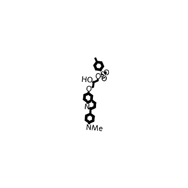 CNc1ccc(-c2ccc3cc(OCC(O)COS(=O)(=O)c4ccc(C)cc4)ccc3n2)cc1